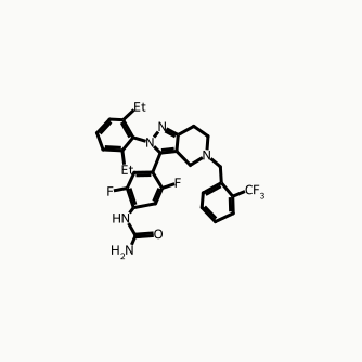 CCc1cccc(CC)c1-n1nc2c(c1-c1cc(F)c(NC(N)=O)cc1F)CN(Cc1ccccc1C(F)(F)F)CC2